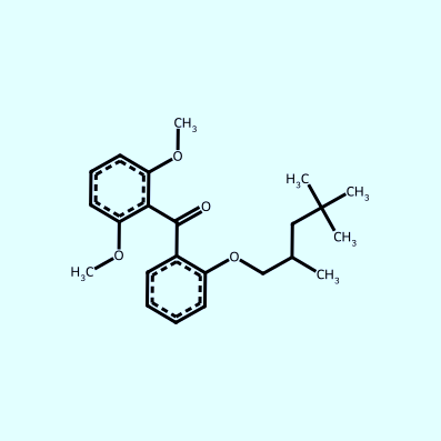 COc1cccc(OC)c1C(=O)c1ccccc1OCC(C)CC(C)(C)C